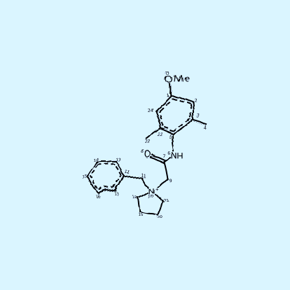 COc1cc(C)c(NC(=O)C[N+]2(Cc3ccccc3)CCCC2)c(C)c1